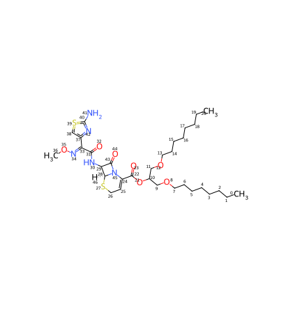 CCCCCCCCOCC(COCCCCCCCC)OC(=O)C1=CCS[C@H]2C(NC(=O)C(=NOC)c3csc(N)n3)C(=O)N12